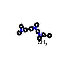 Cc1ccc2c(c1)c1cc(-c3ccccc3)ccc1n2-c1ccc(N(c2ccccc2)c2ccc(-c3ccc4c(c3)c3ccccc3n4-c3ccccc3)cc2)cc1